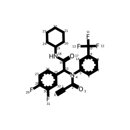 C#CC(=O)N(c1cccc(C(F)(F)F)c1)C(C(=O)NC1CCCCC1)c1ccc(F)c(F)c1